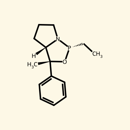 CC[P@]1O[C@](C)(c2ccccc2)[C@@H]2CCCN21